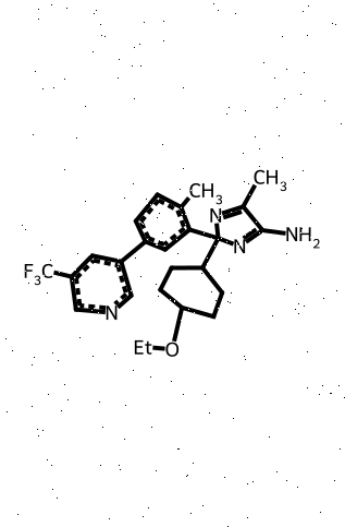 CCOC1CCC(C2(c3cc(-c4cncc(C(F)(F)F)c4)ccc3C)N=C(C)C(N)=N2)CC1